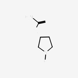 CCCN1CC[C@@H](OC(N)=O)C1